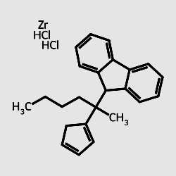 CCCCC(C)(C1=CC=CC1)C1c2ccccc2-c2ccccc21.Cl.Cl.[Zr]